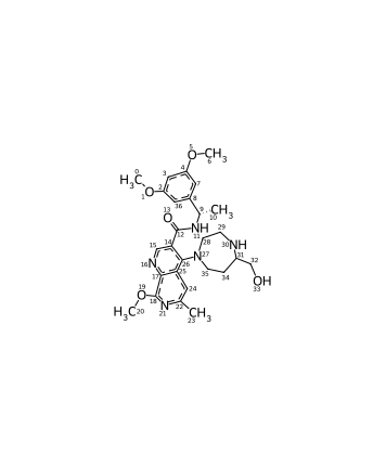 COc1cc(OC)cc([C@H](C)NC(=O)c2cnc3c(OC)nc(C)cc3c2N2CCNC(CO)CC2)c1